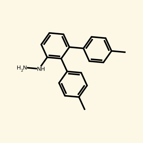 Cc1ccc(-c2cccc(NN)c2-c2ccc(C)cc2)cc1